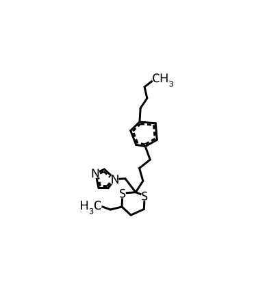 CCCCc1ccc(CCCC2(Cn3ccnc3)SCCC(CC)S2)cc1